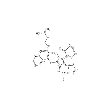 CN(C)CCNc1cc(Cn2c(C(=O)O)c(-c3ccc[nH]c3=O)c3c4occc4c(F)cc32)c2ccccc2n1